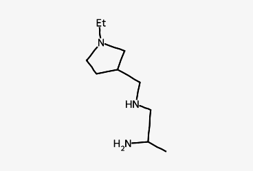 CCN1CCC(CNCC(C)N)C1